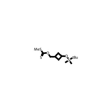 C[SH2]C(=S)OCC1CC(O[Si](C)(C)C(C)(C)C)C1